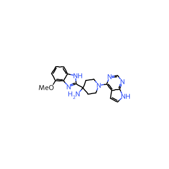 COc1cccc2[nH]c(C3(N)CCN(c4ncnc5[nH]ccc45)CC3)nc12